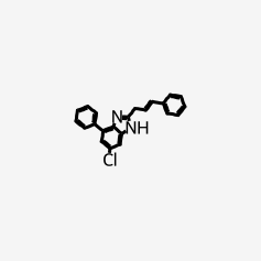 Clc1cc(-c2ccccc2)c2nc(CC=Cc3ccccc3)[nH]c2c1